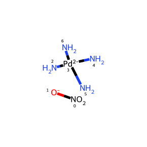 O=[N+]([O-])[O-].[NH2][Pd-2]([NH2])([NH2])[NH2]